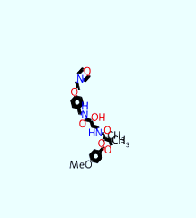 COc1ccc(C2OCC(C)(C)[C@H](C(=O)NCCC(O)C(=O)NCc3ccc(OCCN4CCOCC4)cc3)O2)cc1